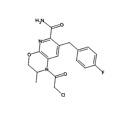 CC1COc2nc(C(N)=O)c(Cc3ccc(F)cc3)cc2N1C(=O)CCl